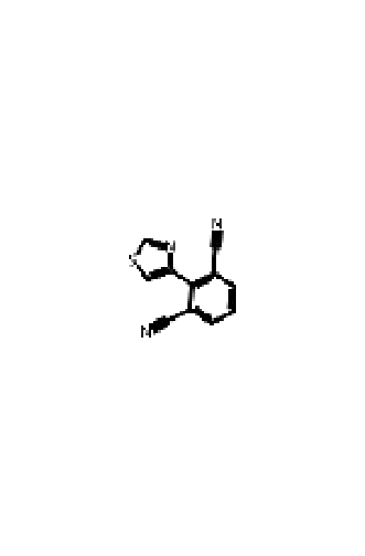 N#Cc1cccc(C#N)c1-c1cs[c]n1